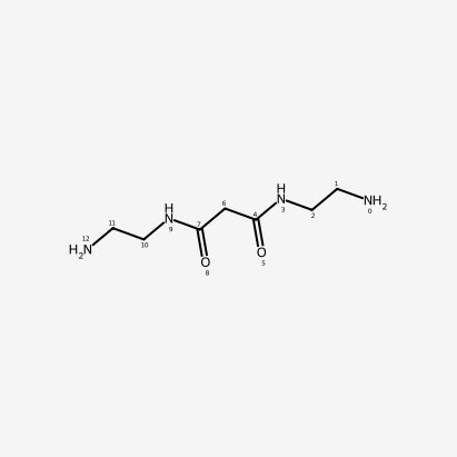 NCCNC(=O)CC(=O)NCCN